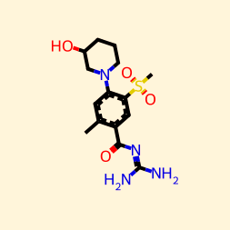 Cc1cc(N2CCCC(O)C2)c(S(C)(=O)=O)cc1C(=O)N=C(N)N